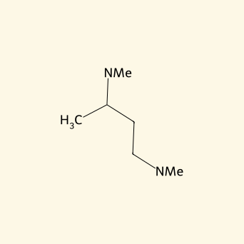 CNCCC(C)NC